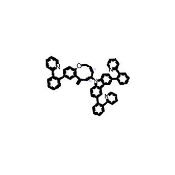 C=C1/C=C(n2c3ccc(-c4ccccc4-c4ccccn4)cc3c3cc(-c4ccccc4-c4ccccn4)ccc32)\C=C/COc2ccc(-c3ccccc3-c3ccccn3)cc21